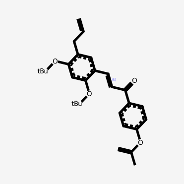 C=CCc1cc(/C=C/C(=O)c2ccc(OC(=C)C)cc2)c(OC(C)(C)C)cc1OC(C)(C)C